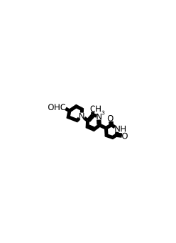 Cc1nc(C2CCC(=O)NC2=O)ccc1N1CCC(C=O)CC1